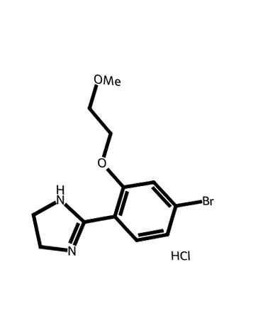 COCCOc1cc(Br)ccc1C1=NCCN1.Cl